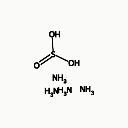 N.N.N.N.O=S(O)O